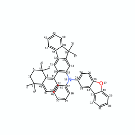 CC1(C)CCC(C)(C)c2c(-c3cc4c(cc3N(c3ccccc3)c3ccc5oc6ccccc6c5c3)C(C)(C)c3ccccc3-4)cccc21